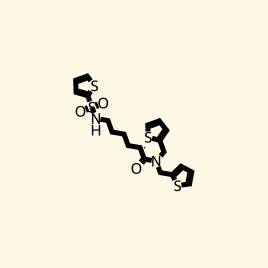 O=C([CH]CCCCNS(=O)(=O)c1cccs1)N(Cc1cccs1)Cc1cccs1